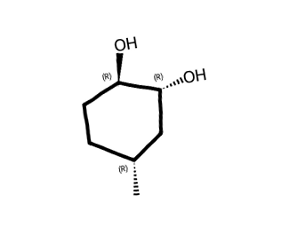 C[C@@H]1CC[C@@H](O)[C@H](O)C1